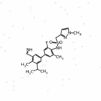 Cc1cc(-c2cc(C=N)c(C)c(C(C)C)c2)cc(F)c1NS(=O)(=O)Cc1ccn(C)n1